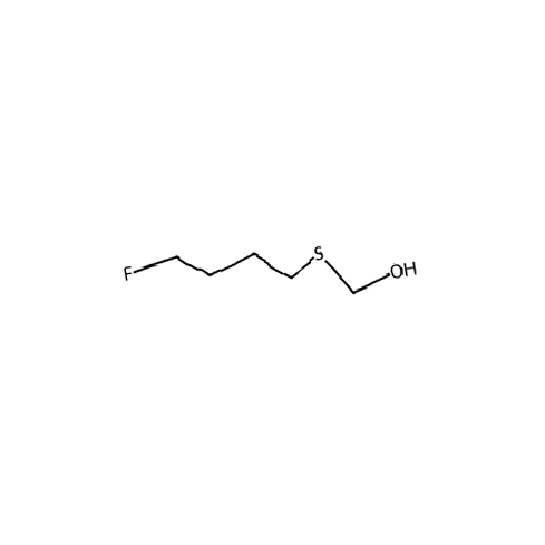 OCSCCCCF